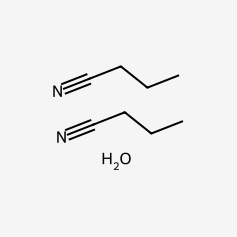 CCCC#N.CCCC#N.O